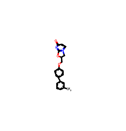 O=c1ccn2c(n1)OC(COc1ccc(-c3cccc(C(F)(F)F)c3)cc1)C2